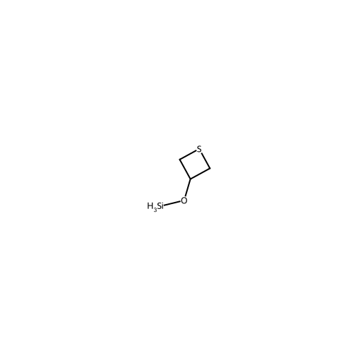 [SiH3]OC1CSC1